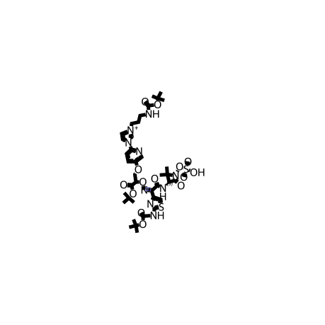 CC(C)(C)OC(=O)NCCC[n+]1ccn(-c2ccc(OCC(O/N=C(\C(=O)N[C@@H]3C(=O)N(OS(=O)(=O)O)C3(C)C)c3csc(NC(=O)OC(C)(C)C)n3)C(=O)OC(C)(C)C)cn2)c1